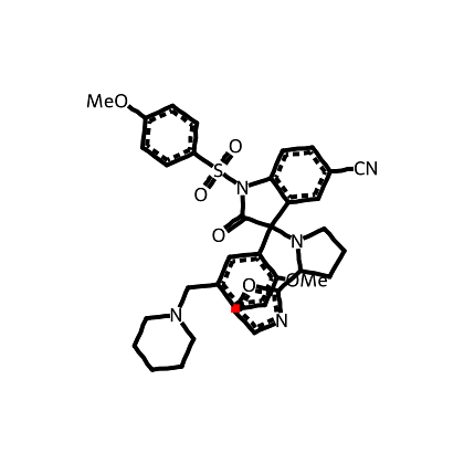 COc1ccc(S(=O)(=O)N2C(=O)C(c3cc(CN4CCCCC4)ccc3OC)(N3CCCC3c3ncco3)c3cc(C#N)ccc32)cc1